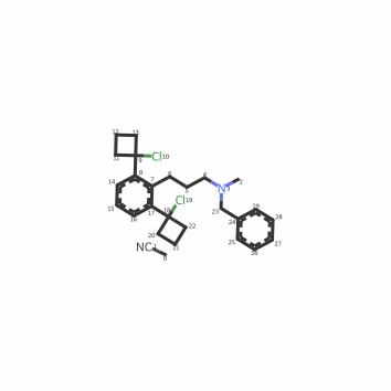 CC#N.CN(CCCc1c(C2(Cl)CCC2)cccc1C1(Cl)CCC1)Cc1ccccc1